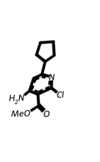 COC(=O)c1c(N)cc(C2CCCC2)nc1Cl